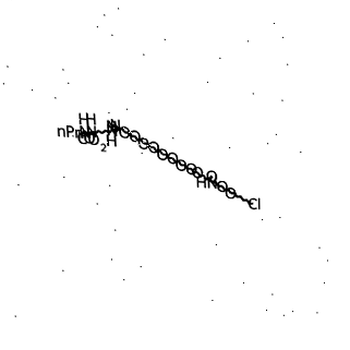 CCC[C@H](NC(=O)NCCCCCn1cc(COCCOCCOCCOCCOCCOCCOCCOCOCCCC(=O)NCCOCCOCCCCCCCl)nn1)C(=O)O